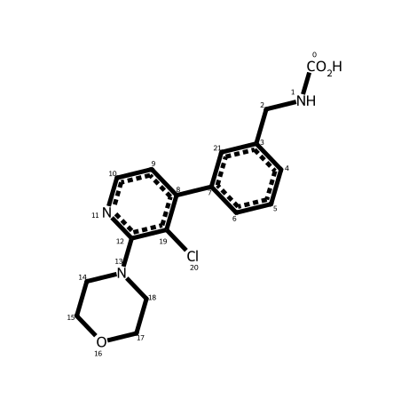 O=C(O)NCc1cccc(-c2ccnc(N3CCOCC3)c2Cl)c1